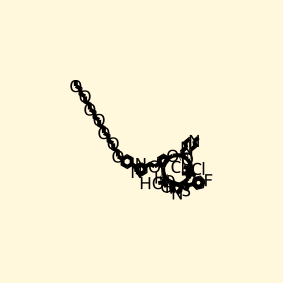 COCCOCCOCCOCCOCCOCCOC1CCC(c2nccc(COc3ccc4cc3C[C@H](C(=O)O)Oc3ncnc5sc(-c6ccc(F)cc6)c(c35)-c3c(C)c(Cl)c(c(Cl)c3C)O[C@H](CN3CCN(C)CC3)CO4)n2)CC1